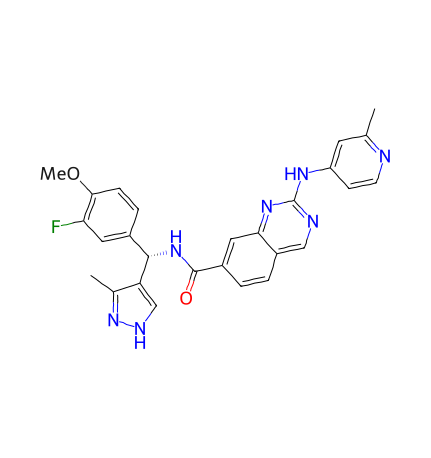 COc1ccc([C@H](NC(=O)c2ccc3cnc(Nc4ccnc(C)c4)nc3c2)c2c[nH]nc2C)cc1F